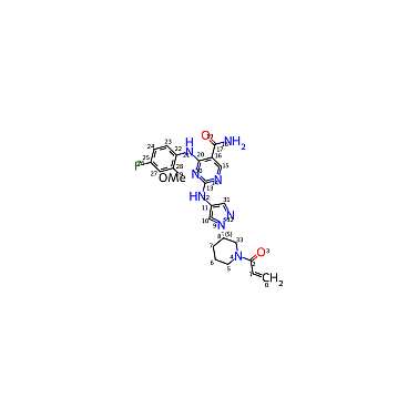 C=CC(=O)N1CCC[C@H](n2cc(Nc3ncc(C(N)=O)c(Nc4ccc(F)cc4OC)n3)cn2)C1